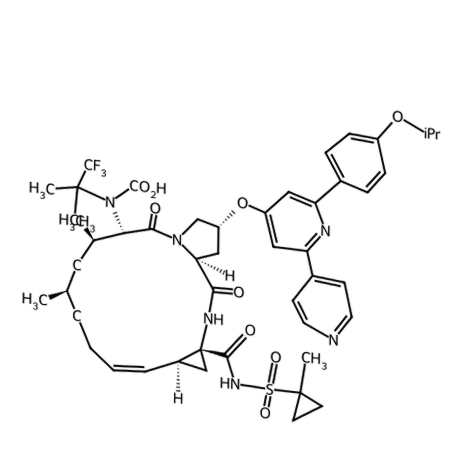 CC(C)Oc1ccc(-c2cc(O[C@@H]3C[C@H]4C(=O)N[C@]5(C(=O)NS(=O)(=O)C6(C)CC6)C[C@H]5/C=C\CC[C@@H](C)C[C@@H](C)[C@H](N(C(=O)O)C(C)(C)C(F)(F)F)C(=O)N4C3)cc(-c3ccncc3)n2)cc1